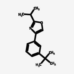 CC(C)c1nc(-c2cccc(C(C)(C)C)c2)co1